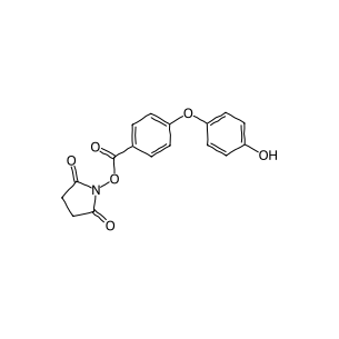 O=C(ON1C(=O)CCC1=O)c1ccc(Oc2ccc(O)cc2)cc1